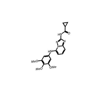 COc1cc(Nc2cccc3nc(NC(=O)C4CC4)nn23)cc(OC)c1OC